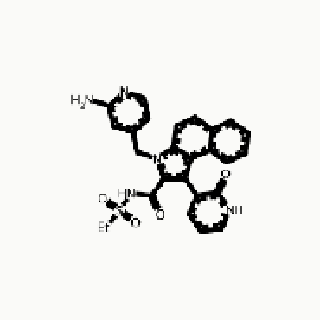 CCS(=O)(=O)NC(=O)c1c(-c2ccc[nH]c2=O)c2c3ccccc3ccc2n1Cc1ccnc(N)c1